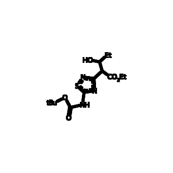 CCOC(=O)C(c1nsc(NC(=O)OC(C)(C)C)n1)C(O)CC